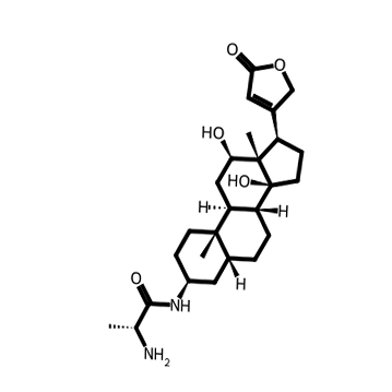 C[C@@H](N)C(=O)N[C@H]1CC[C@@]2(C)[C@H](CC[C@@H]3[C@@H]2C[C@@H](O)[C@]2(C)[C@@H](C4=CC(=O)OC4)CC[C@]32O)C1